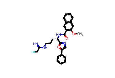 COc1cc2ccccc2cc1C(=O)N[C@@H](CCCNC(=N)CF)c1ncc(-c2ccccc2)o1